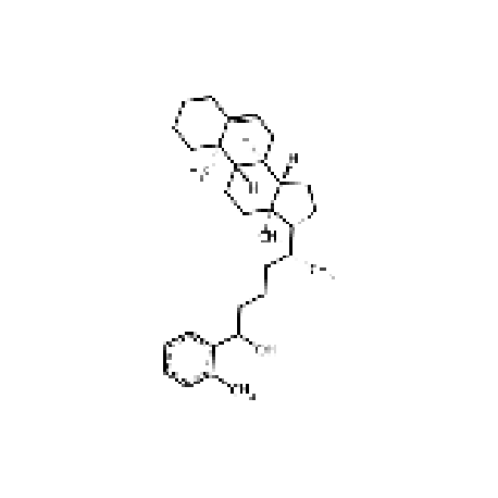 Cc1ccccc1C(O)CCC[C@@H](C)[C@H]1CC[C@H]2[C@@H]3CC=C4CCCC[C@]4(C)[C@H]3CC[C@]12C